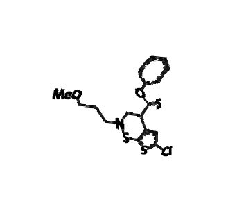 COCCCN1CC(C(=S)Oc2ccccc2)c2cc(Cl)sc2S1